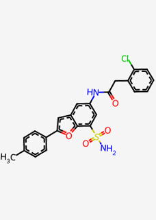 Cc1ccc(-c2cc3cc(NC(=O)Cc4ccccc4Cl)cc(S(N)(=O)=O)c3o2)cc1